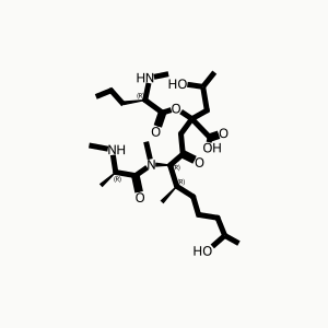 CCC[C@@H](NC)C(=O)OC(CC(=O)[C@@H]([C@H](C)CCCC(C)O)N(C)C(=O)[C@@H](C)NC)(CC(C)O)C(=O)O